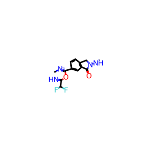 C/N=C(\OC(=N)C(F)F)c1ccc2c(c1)C(=O)N(NC)C2